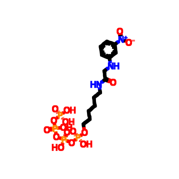 O=C(CNc1cccc([N+](=O)[O-])c1)NCCCCCCOP(=O)(O)OP(=O)(O)OP(=O)(O)OP(=O)(O)O